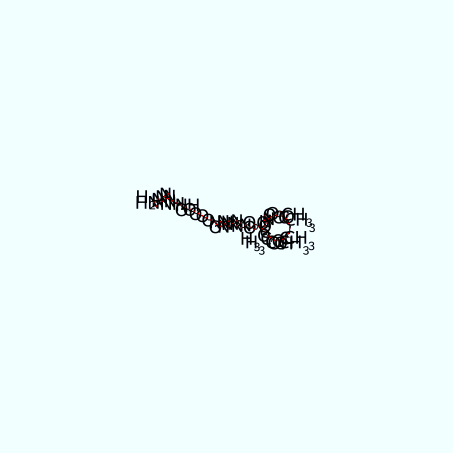 CO[C@H]1CC2CCCC(O2)C(=O)C(=O)N2CCCC[C@H]2C(=O)O[C@H](CC[C@H]2CC[C@H](OC(=O)N3CCc4nc(N5CCN(c6ncc(C(=O)NCCOCCOCCOCCOCCC(=O)NCCCCNc7ncnc(N)c7C(=N)c7cnc8[nH]ccc8c7)cn6)CC5)ncc4C3)CC2)CC(=O)[C@H](C)/C=C(\C)[C@@H](O)CC(=O)[C@H](C)C[C@H](C)/C=C/C=C/C=C/1C